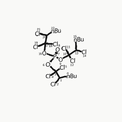 CCCCC(Cl)C(Cl)(Cl)OP(=O)(OC(Cl)(Cl)C(Cl)CCCC)OC(Cl)(Cl)C(Cl)CCCC